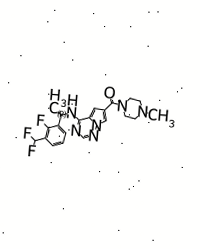 C[C@@H](Nc1ncnn2cc(C(=O)N3CCN(C)CC3)cc12)c1cccc(C(F)F)c1F